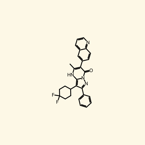 Cc1[nH]c2c(C3CCC(F)(F)CC3)c(-c3ccccc3)nn2c(=O)c1-c1ccc2ncccc2c1